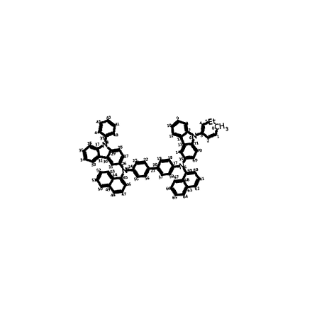 C/C=C\C(=C/CC)n1c2ccccc2c2cc(N(c3ccc(-c4ccc(N(c5ccc6c(c5)c5ccccc5n6-c5ccccc5)c5cccc6ccccc56)cc4)cc3)c3cccc4ccccc34)ccc21